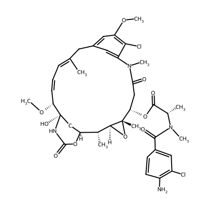 COc1cc2cc(c1Cl)N(C)C(=O)C[C@H](OC(=O)[C@H](C)N(C)C(=O)c1ccc(N)c(Cl)c1)[C@]1(C)O[C@H]1[C@H](C)[C@@H]1C[C@@](O)(NC(=O)O1)[C@H](OC)/C=C/C=C(\C)C2